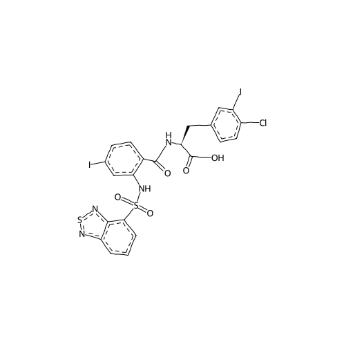 O=C(N[C@@H](Cc1ccc(Cl)c(I)c1)C(=O)O)c1ccc(I)cc1NS(=O)(=O)c1cccc2nsnc12